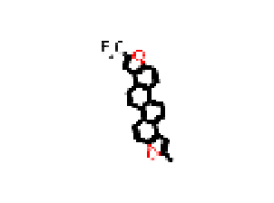 Cc1cc2c(ccc3c2ccc2c4ccc5oc(C(F)(F)F)cc5c4ccc32)o1